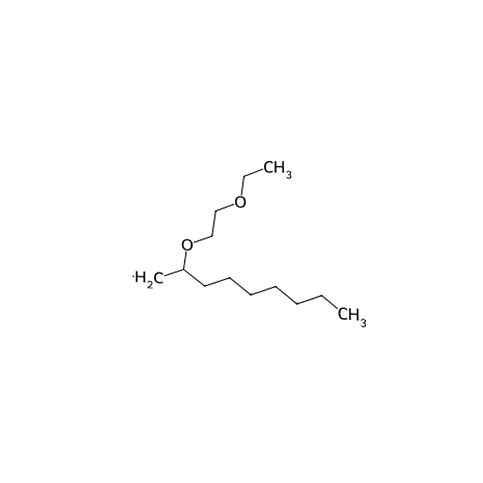 [CH2]C(CCCCCCC)OCCOCC